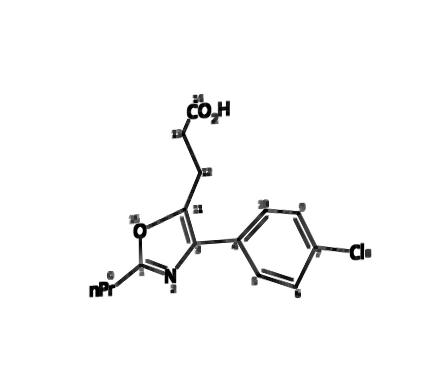 CCCc1nc(-c2ccc(Cl)cc2)c(CCC(=O)O)o1